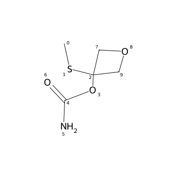 CSC1(OC(N)=O)COC1